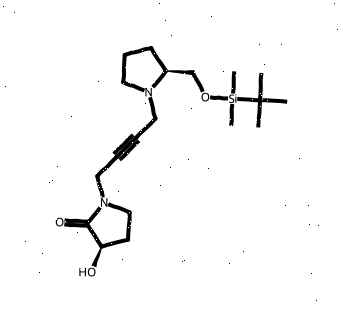 CC(C)(C)[Si](C)(C)OC[C@@H]1CCCN1CC#CCN1CC[C@@H](O)C1=O